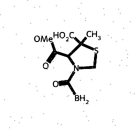 BC(=O)N1CSC(C)(C(=O)O)C1C(=O)OC